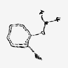 CNc1ccccc1ON(F)F